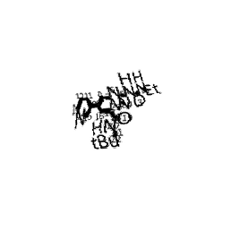 CCNC(=O)Nc1nc2cc(-c3cccnc3)cc(C(=O)NCC(C)(C)C)n2n1